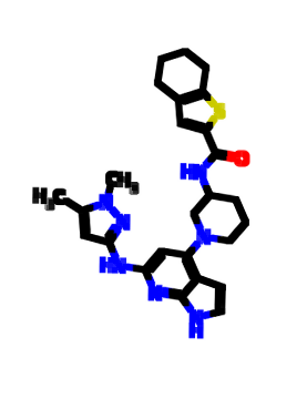 Cc1cc(Nc2cc(N3CCCC(NC(=O)c4cc5c(s4)CCCC5)C3)c3cc[nH]c3n2)nn1C